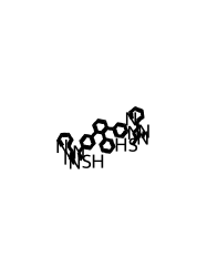 Sc1nnc(-c2ccccn2)n1-c1ccc(-c2cccc(-c3ccc(-n4c(S)nnc4-c4ccccn4)cc3)c2-c2ccccc2)cc1